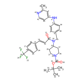 Cc1cc(Nc2ccc(CN(C(=O)C=Cc3ccc(C(F)(F)F)cc3)C3CCN(C(=O)OC(C)(C)C)CC3)cc2)ccn1